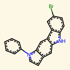 Brc1ccc2[nH]c3cc4ccn(-c5ccccc5)c4cc3c2c1